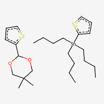 CC1(C)COC(c2cccs2)OC1.CCC[CH2][Sn]([CH2]CCC)([CH2]CCC)[c]1cc[c]s1